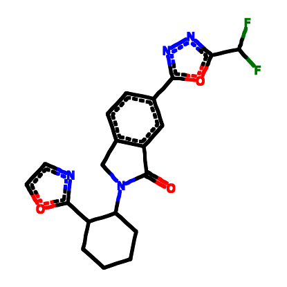 O=C1c2cc(-c3nnc(C(F)F)o3)ccc2CN1C1CCCCC1c1ncco1